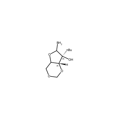 BC1OC2COCO[C@H]2[C@@]1(O)CCCC